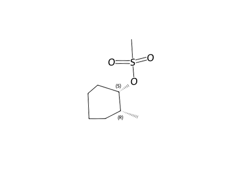 C[C@@H]1CCCC[C@@H]1OS(C)(=O)=O